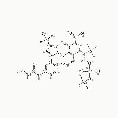 CCNC(=O)Nc1cc(-c2nc(C(F)(F)F)cs2)c(-c2ccc3c(c2)c(=O)c(C(=O)O)cn3C(COP(=O)(O)OC(C)(C)C)C(C)(C)C)cn1